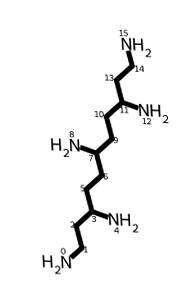 NCCC(N)CCC(N)CCC(N)CCN